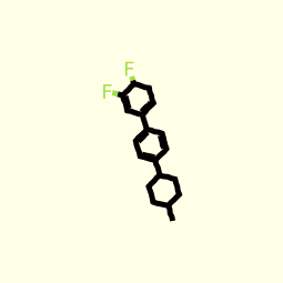 CC1CCC(c2ccc(C3=CCC(F)C(F)=C3)cc2)CC1